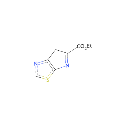 CCOC(=O)C1=Nc2scnc2C1